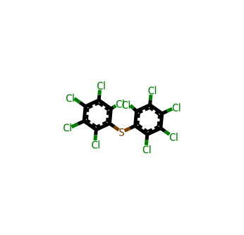 Clc1c(Cl)c(Cl)c(Sc2c(Cl)c(Cl)c(Cl)c(Cl)c2Cl)c(Cl)c1Cl